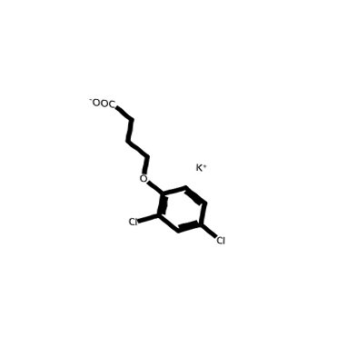 O=C([O-])CCCOc1ccc(Cl)cc1Cl.[K+]